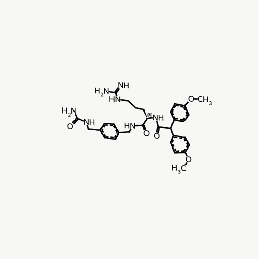 COc1ccc(C(C(=O)N[C@H](CCCNC(=N)N)C(=O)NCc2ccc(CNC(N)=O)cc2)c2ccc(OC)cc2)cc1